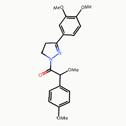 COc1ccc(C(OC)C(=O)N2CCC(c3ccc(OC)c(OC)c3)=N2)cc1